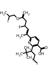 C=C(CC(F)/C=C(\C)c1ccc(C(=O)O)c(C(CCI)C(C)(C)C)n1)OCC(C)I